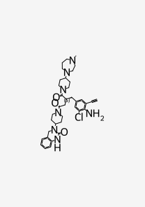 C#Cc1cc(C[C@@H](CC(=O)N2CCC(N3Cc4ccccc4NC3=O)CC2)C(=O)N2CCC(N3CCCN(C)CC3)CC2)cc(Cl)c1N